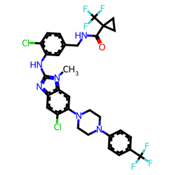 Cn1c(Nc2cc(CNC(=O)C3(C(F)(F)F)CC3)ccc2Cl)nc2cc(Cl)c(N3CCN(c4ccc(C(F)(F)F)cc4)CC3)cc21